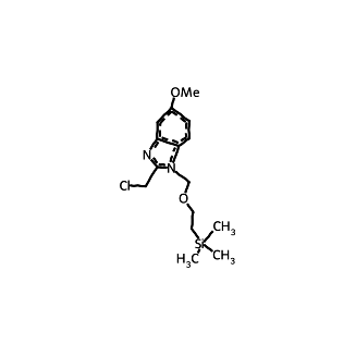 COc1ccc2c(c1)nc(CCl)n2COCC[Si](C)(C)C